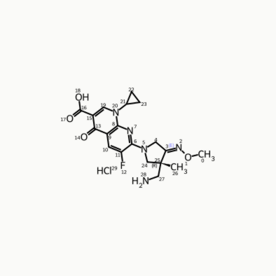 CO/N=C1/CN(c2nc3c(cc2F)c(=O)c(C(=O)O)cn3C2CC2)C[C@@]1(C)CN.Cl